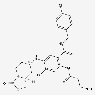 O=C(CCO)Nc1cc(Br)c(N[C@H]2CCN3C(=O)OC[C@@H]3C2)cc1C(=O)NCc1ccc(Cl)cc1